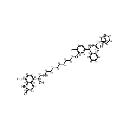 Cc1ccc(C(NC(=O)O[C@H]2CN3CCC2CC3)c2ccccc2)cc1OCCCCCCCCCNC[C@@H](O)c1ccc(O)c2[nH]c(=O)ccc12